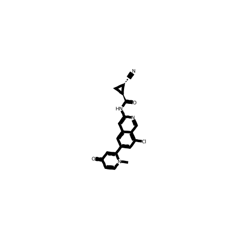 Cn1ccc(=O)cc1-c1cc(Cl)c2cnc(NC(=O)[C@H]3C[C@@H]3C#N)cc2c1